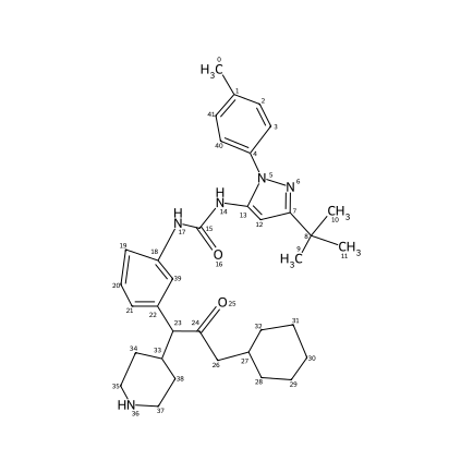 Cc1ccc(-n2nc(C(C)(C)C)cc2NC(=O)Nc2cccc(C(C(=O)CC3CCCCC3)C3CCNCC3)c2)cc1